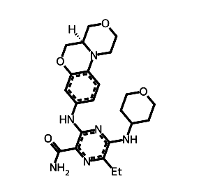 CCc1nc(C(N)=O)c(Nc2ccc3c(c2)OC[C@H]2COCCN32)nc1NC1CCOCC1